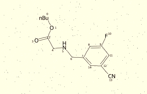 CCCCOC(=O)CNCc1cc(F)cc(C#N)c1